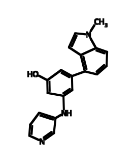 Cn1ccc2c(-c3cc(O)cc(Nc4cccnc4)c3)cccc21